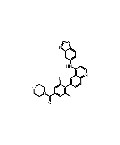 O=C(c1cc(F)c(-c2ccc3nccc(Nc4ccc5scnc5c4)c3c2)c(F)c1)N1CCOCC1